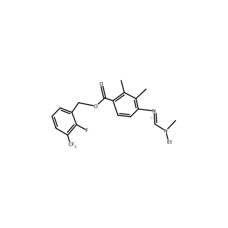 CCN(C)/C=N/c1ccc(C(=O)OCc2cccc(C(F)(F)F)c2F)c(C)c1C